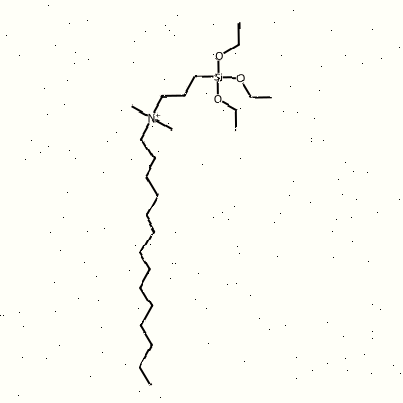 CCCCCCCCCCCCCC[N+](C)(C)CCC[Si](OCC)(OCC)OCC